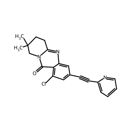 CC1(C)CCc2nc3cc(C#Cc4ccccn4)cc(Cl)c3c(=O)n2C1